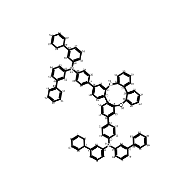 C1=CCC(c2cccc(N(c3ccc(-c4ccc5c(c4)Oc4ccccc4-c4ccccc4Oc4cc(-c6ccc(N(c7cccc(-c8ccccc8)c7)c7cccc(C8C=CC=CC8)c7)cc6)ccc4-5)cc3)c3cccc(-c4ccccc4)c3)c2)C=C1